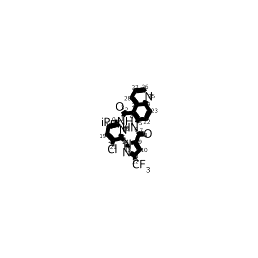 CC(C)NC(=O)c1c(NC(=O)c2cc(C(F)(F)F)nn2-c2ncccc2Cl)ccc2ncccc12